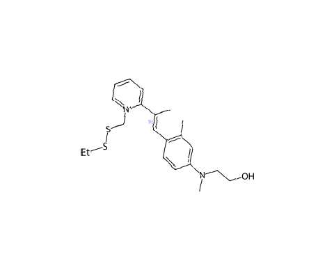 CCSSC[n+]1ccccc1/C(C)=C/c1ccc(N(C)CCO)cc1C